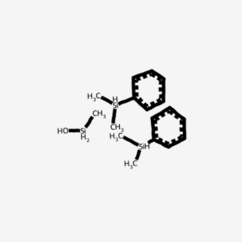 C[SiH2]O.C[SiH](C)c1ccccc1.C[SiH](C)c1ccccc1